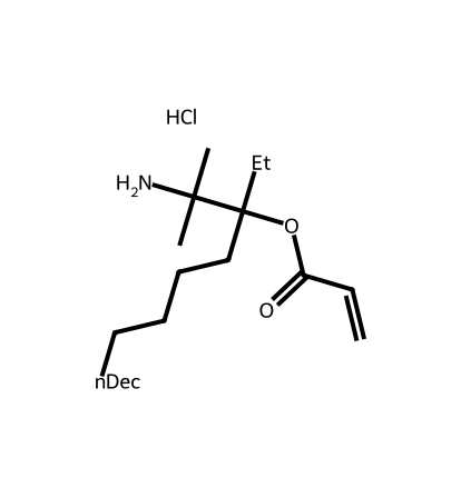 C=CC(=O)OC(CC)(CCCCCCCCCCCCCC)C(C)(C)N.Cl